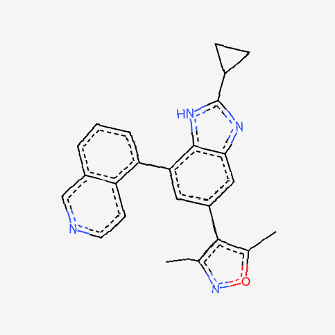 Cc1noc(C)c1-c1cc(-c2cccc3cnccc23)c2[nH]c(C3CC3)nc2c1